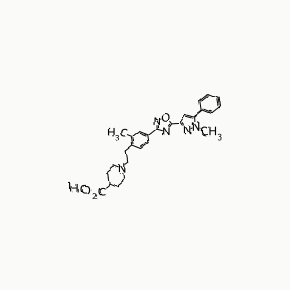 Cc1cc(-c2noc(-c3cc(-c4ccccc4)n(C)n3)n2)ccc1CCN1CCC(C(=O)O)CC1